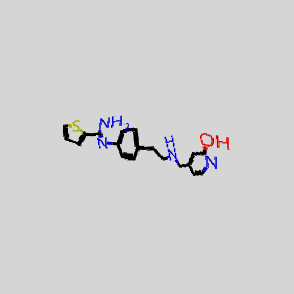 NC(=Nc1ccc(CCNCc2ccnc(O)c2)cc1)c1cccs1